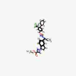 CCOC(=O)C1CN(C2CCc3cc(/C(C)=N/OCc4ccc(C5CCCCC5)c(C(F)(F)F)c4)ccc32)C1